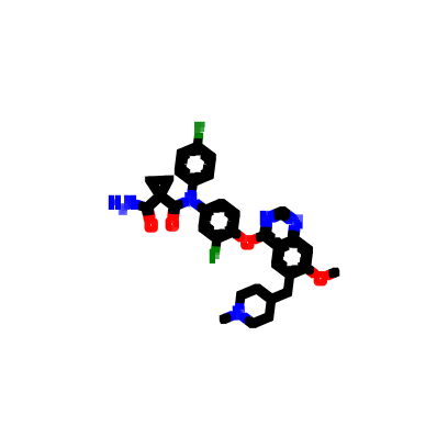 COc1cc2ncnc(Oc3ccc(N(C(=O)C4(C(N)=O)CC4)c4ccc(F)cc4)cc3F)c2cc1CC1CCN(C)CC1